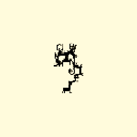 C=CCC[C@@H]1CC[C@H](n2cc(Br)c3c(Cl)ncnc32)O1